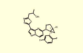 CC(O)Cc1nnc(-c2cnn3ccc(N4CC[C@H]5C[C@]54c4cc(F)ccc4F)nc23)s1